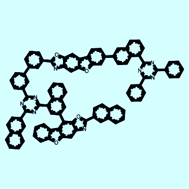 c1ccc(-c2nc(-c3ccccc3)nc(-c3cccc4cc(-c5ccc6c(c5)oc5cc7nc(-c8cccc(-c9cccc(-c%10nc(-c%11ccc%12ccccc%12c%11)nc(-c%11cc(-c%12c%13oc(-c%14ccc%15ccccc%15c%14)nc%13cc%13oc%14ccccc%14c%12%13)cc%12ccccc%11%12)n%10)c9)c8)oc7cc56)ccc34)n2)cc1